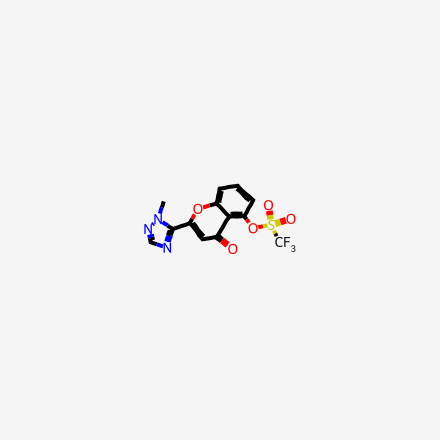 Cn1ncnc1-c1cc(=O)c2c(OS(=O)(=O)C(F)(F)F)cccc2o1